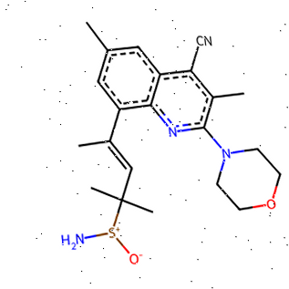 CC(=CC(C)(C)[S+](N)[O-])c1cc(C)cc2c(C#N)c(C)c(N3CCOCC3)nc12